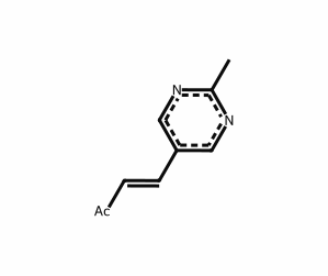 CC(=O)C=Cc1cnc(C)nc1